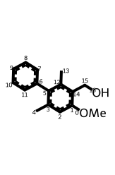 COc1cc(C)c(-c2ccccc2)c(C)c1CO